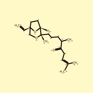 C=C[C@@]12CC[C@@H](O1)[C@](C)(CCCC(C)C(=O)CC=C(C)C)OC2